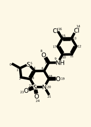 CC1CC2=C(S1)C(C(=O)Nc1ccc(Cl)c(Cl)c1)C(=O)N(C)S2(=O)=O